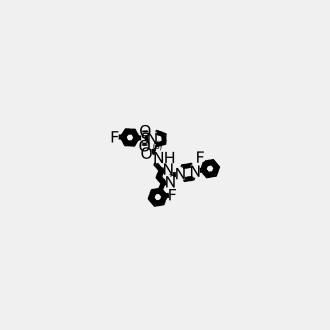 O=C(NCc1cc(-c2ccccc2F)nc(N2CCN(c3ccccc3F)CC2)n1)[C@@H]1CCCN1S(=O)(=O)c1ccc(F)cc1